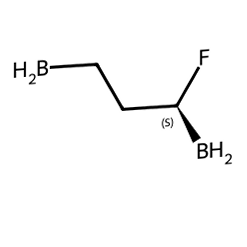 BCC[C@H](B)F